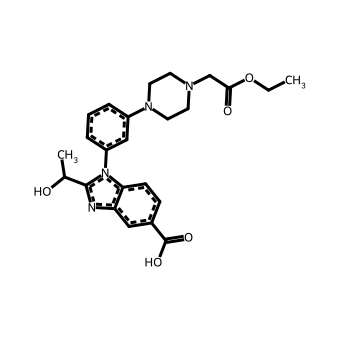 CCOC(=O)CN1CCN(c2cccc(-n3c(C(C)O)nc4cc(C(=O)O)ccc43)c2)CC1